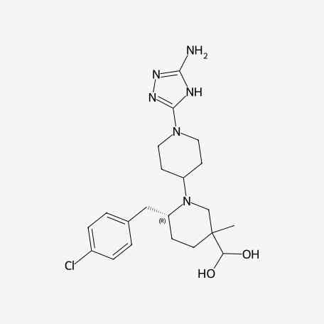 CC1(C(O)O)CC[C@H](Cc2ccc(Cl)cc2)N(C2CCN(c3nnc(N)[nH]3)CC2)C1